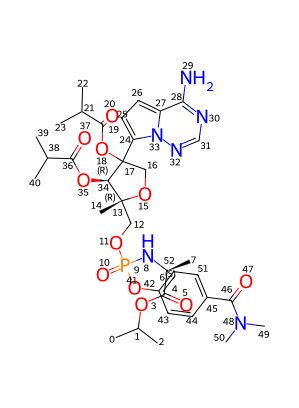 CC(C)OC(=O)[C@H](C)NP(=O)(OC[C@@]1(C)OCC(OC(=O)C(C)C)(c2ccc3c(N)ncnn23)[C@@H]1OC(=O)C(C)C)Oc1ccc(C(=O)N(C)C)cc1